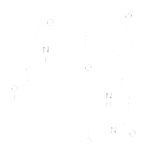 COCCCN1CCOc2ccc(CO[C@H]3CNC(CC(C)(C)C(=O)N4CCOCC4)CC3c3ccc(OC)cc3)cc21